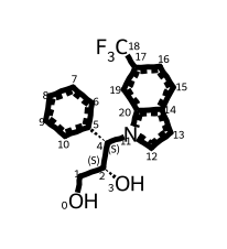 OC[C@@H](O)[C@H](c1ccccc1)n1ccc2ccc(C(F)(F)F)cc21